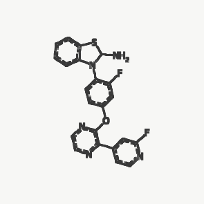 NC1Sc2ccccc2N1c1ccc(Oc2nccnc2-c2ccnc(F)c2)cc1F